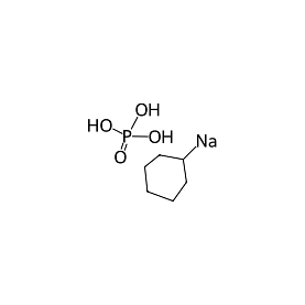 O=P(O)(O)O.[Na][CH]1CCCCC1